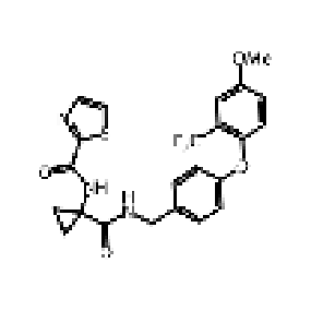 COc1ccc(Oc2ccc(CNC(=O)C3(NC(=O)c4nccs4)CC3)cc2)c(C(F)(F)F)c1